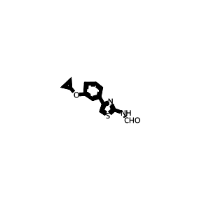 O=CNc1nc(-c2cccc(OC3CC3)c2)cs1